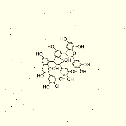 Oc1cc(O)c2c(c1)C(c1cc(O)cc3c1OC(c1ccc(O)c(O)c1)C(O)C3c1cc(O)cc3c1OC(c1cc(O)c(O)c(O)c1)C(O)C3)C(O)C(c1ccc(O)c(O)c1)O2